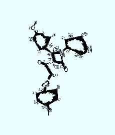 COc1ccc([C@@H]2[C@@H](C(=O)COc3ccc(F)cc3)C(=O)N2c2ccccc2)cc1